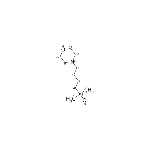 CC(C)([O])CCCCN1CCOCC1